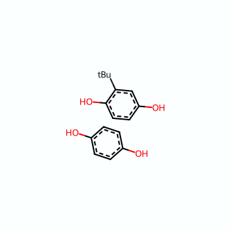 CC(C)(C)c1cc(O)ccc1O.Oc1ccc(O)cc1